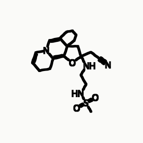 CS(=O)(=O)NCCNC1(CC#N)CC23CCCCC2=CN2C=CCCC2=C3O1